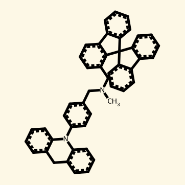 CN(Cc1ccc(N2c3ccccc3Cc3ccccc32)cc1)Cc1cccc2c1C1(c3ccccc3-c3ccccc31)c1ccccc1-2